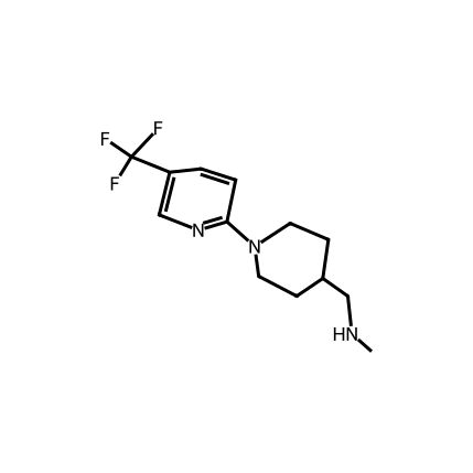 CNCC1CCN(c2ccc(C(F)(F)F)cn2)CC1